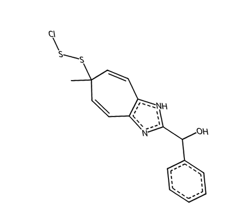 CC1(SSCl)C=Cc2nc(C(O)c3ccccc3)[nH]c2C=C1